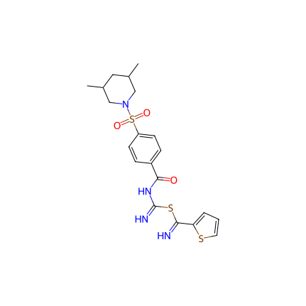 CC1CC(C)CN(S(=O)(=O)c2ccc(C(=O)NC(=N)SC(=N)c3cccs3)cc2)C1